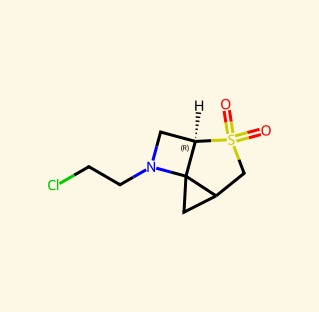 O=S1(=O)CC2CC23[C@H]1CN3CCCl